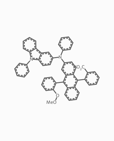 COOc1ccccc1-c1c2ccccc2c(-c2ccccc2C(=O)O)c2ccc(N(c3ccccc3)c3ccc4c(c3)c3ccccc3n4-c3ccccc3)cc12